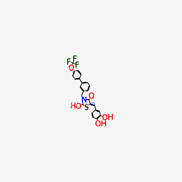 O=C1/C(=C/c2ccc(O)c(O)c2)SC(O)N1Cc1cccc(-c2ccc(OC(F)(F)F)cc2)c1